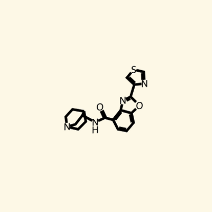 O=C(NC1CN2CCC1CC2)c1cccc2oc(-c3cscn3)nc12